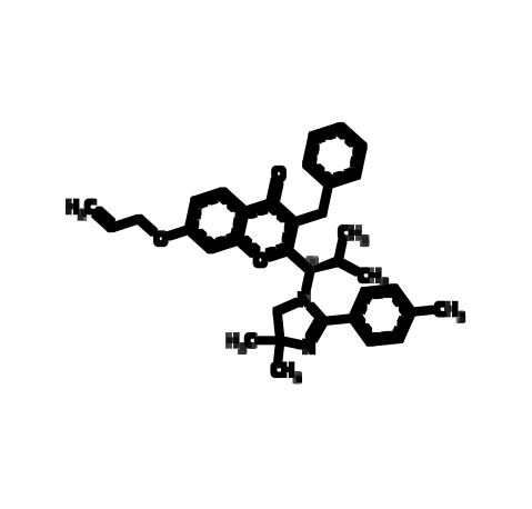 C=CCOc1ccc2c(=O)c(Cc3ccccc3)c([C@@H](C(C)C)N3CC(C)(C)N=C3c3ccc(C)cc3)oc2c1